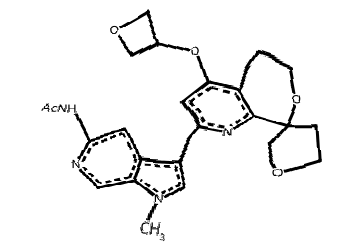 CC(=O)Nc1cc2c(-c3cc(OC4COC4)c4c(n3)C3(CCOC3)OCC4)cn(C)c2cn1